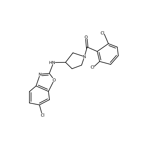 O=C(c1c(Cl)cccc1Cl)N1CCC(Nc2nc3ccc(Cl)cc3o2)C1